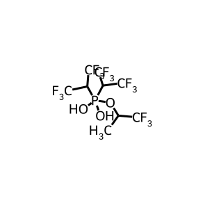 CC(OP(O)(O)(C(C(F)(F)F)C(F)(F)F)C(C(F)(F)F)C(F)(F)F)C(F)(F)F